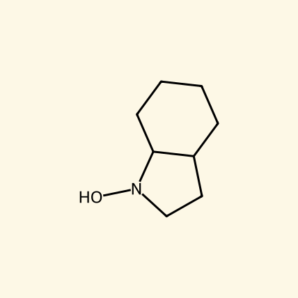 ON1CCC2CCCCC21